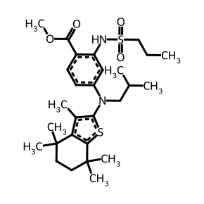 CCCS(=O)(=O)Nc1cc(N(CC(C)C)c2sc3c(c2C)C(C)(C)CCC3(C)C)ccc1C(=O)OC